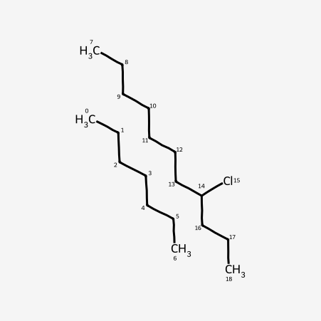 CCCCCCC.CCCCCCCC(Cl)CCC